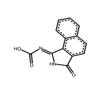 O=C(O)N=C1NC(=O)c2ccc3ccccc3c21